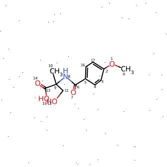 COc1ccc(C(=O)NC(C)(CO)C(=O)O)cc1